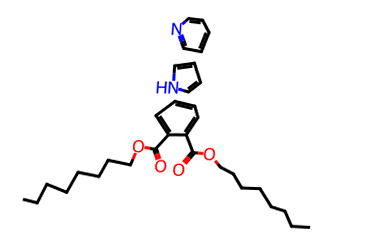 CCCCCCCCOC(=O)c1ccccc1C(=O)OCCCCCCCC.c1cc[nH]c1.c1ccncc1